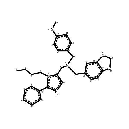 CCCCn1c(CN(Cc2ccc(SC)cc2)Cc2ccc3c(c2)OCO3)cnc1-c1ccccc1